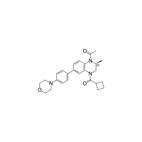 CC(=O)N1c2ccc(-c3ccc(N4CCOCC4)cc3)cc2N(C(=O)C2CCC2)C[C@@H]1C